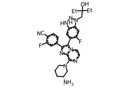 CCC(O)(CC)CN1NNc2cc(-c3c(-c4ccc(C#N)c(F)c4)nc4c(N5CCC[C@@H](N)C5)nccn34)c(F)cc21